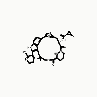 C=C(N[C@H]1Cc2nc(cs2)-c2ccc3[nH]c(-c4cccnc4C(C)C)c(c3c2)CC(C)(C)COC(=O)[C@@H]2CCCN(N2)C1=O)[C@H]1C[C@@H]1C